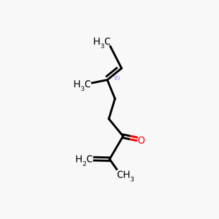 C=C(C)C(=O)CC/C(C)=C/C